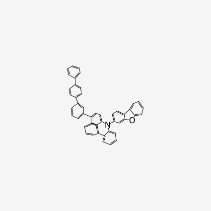 c1ccc(-c2ccc(-c3cccc(-c4ccc(N(c5ccc6c(c5)oc5ccccc56)c5ccccc5-c5ccccc5)cc4)c3)cc2)cc1